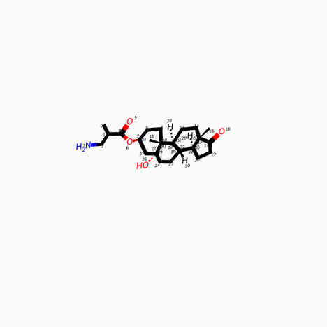 CC(CN)C(=O)O[C@H]1CC[C@]2(C)[C@H]3CC[C@]4(C)C(=O)CC[C@H]4[C@@H]3CC[C@@]2(O)C1